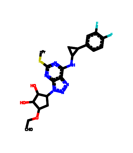 CCCSc1nc(NC2CC2c2ccc(F)c(F)c2)c2nnn(C3CC(OCC=O)C(O)C3O)c2n1